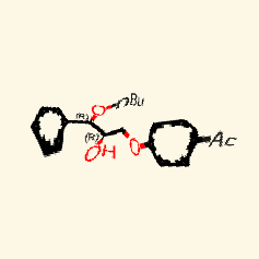 CCCCO[C@H](c1ccccc1)[C@H](O)COc1ccc(C(C)=O)cc1